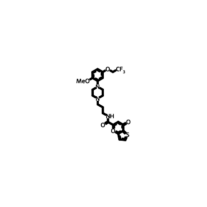 COc1ccc(OCC(F)(F)F)cc1N1CCN(CCCNC(=O)c2cc(=O)c3sccc3o2)CC1